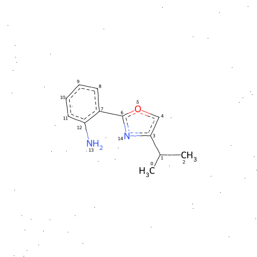 CC(C)c1coc(-c2ccccc2N)n1